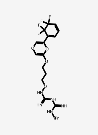 CC(C)NC(=N)NC(=N)NOCCCOC1=COC=C(C2=CC=CC(F)(F)C2(F)F)O1